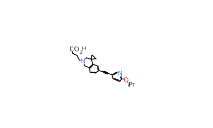 CC(C)Oc1ccc(C#Cc2ccc3c(c2)C2(CC2)CN(CCCC(=O)O)C3)cn1